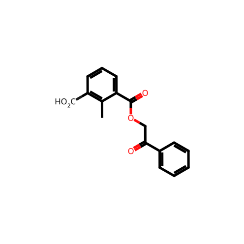 Cc1c(C(=O)O)cccc1C(=O)OCC(=O)c1ccccc1